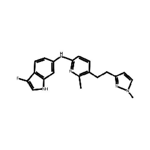 Cc1nc(Nc2ccc3c(F)c[nH]c3c2)ccc1CCc1ccn(C)n1